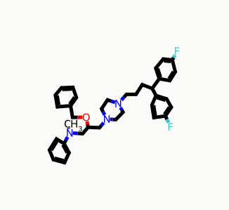 CN(CC(CN1CCN(CCCC(c2ccc(F)cc2)c2ccc(F)cc2)CC1)OCc1ccccc1)c1ccccc1